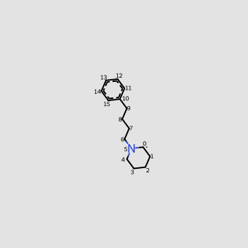 [CH]1CCCCN1CCCCc1ccccc1